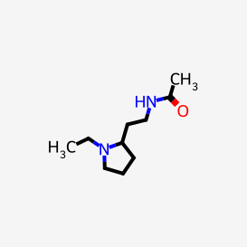 CCN1CCCC1CCNC(C)=O